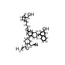 C=CC(=O)N1CCN(c2nc(OCCCN3CC4CC43CO)nc3c2CCN(c2cc(O)cc4ccccc24)C3)CC1CC#N